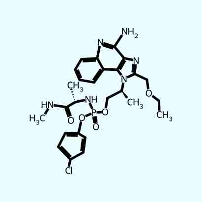 CCOCc1nc2c(N)nc3ccccc3c2n1[C@@H](C)COP(=O)(N[C@@H](C)C(=O)NC)Oc1ccc(Cl)cc1